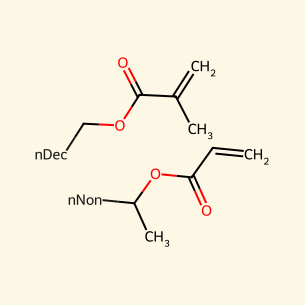 C=C(C)C(=O)OCCCCCCCCCCC.C=CC(=O)OC(C)CCCCCCCCC